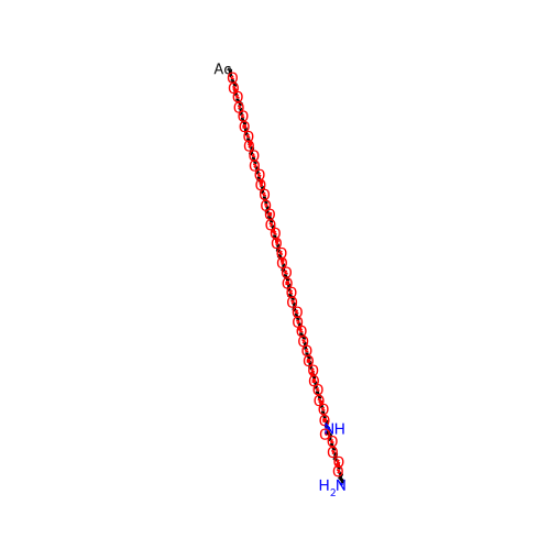 CC(=O)CCOCCOCCOCCOCCOCCOCCOCCOCCOCCOCCOCCOCCOCCOCCOCCOCCOCCOCCOCCOCCOCCOCCOCCOCCOCCOCCOCCOCCOCCOCCOCCOCCOCCOCCOCCOCCNC(=O)CCOCCOCCOCCOCCCN